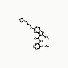 COc1ccncc1NC(=O)c1c(N)nn2ccc(OCCCN3CCC3)nc12